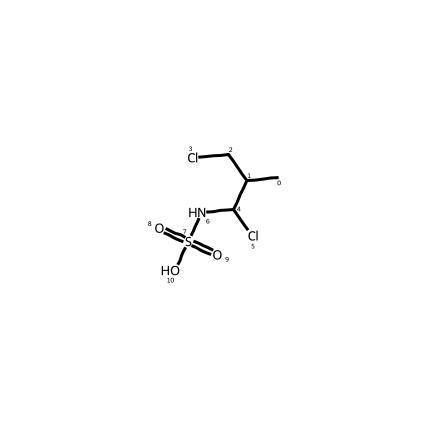 CC(CCl)C(Cl)NS(=O)(=O)O